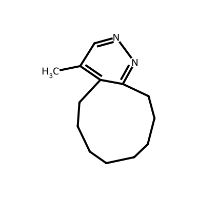 Cc1cnnc2c1CCCCCCCC2